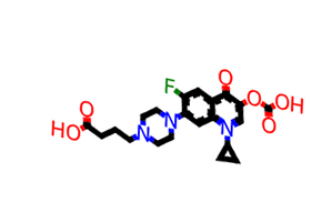 O=C(O)CCCN1CCN(c2cc3c(cc2F)c(=O)c(OC(=O)O)cn3C2CC2)CC1